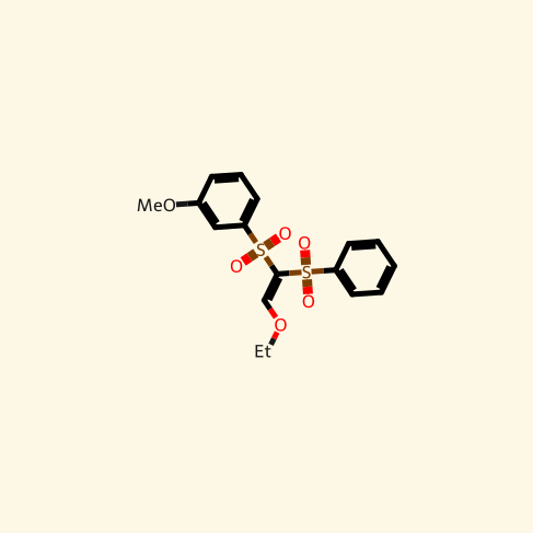 CCO/C=C(\S(=O)(=O)c1ccccc1)S(=O)(=O)c1cccc(OC)c1